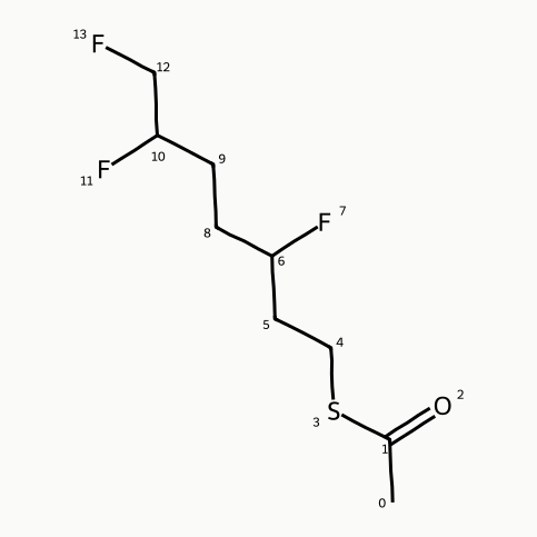 CC(=O)SCCC(F)CCC(F)CF